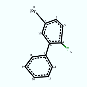 CC(C)c1ccc(F)c(-c2ccccc2)c1